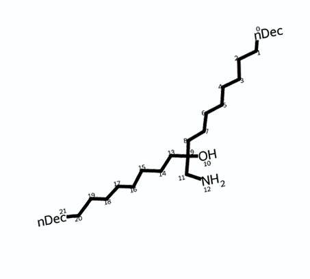 CCCCCCCCCCCCCCCCCCC(O)(CN)CCCCCCCCCCCCCCCCCC